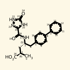 C[C@H](C[C@@H](Cc1ccc(-c2ccccc2)cc1)NC(=O)c1n[nH]c(=O)[nH]1)C(=O)O